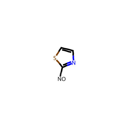 O=Nc1nccs1